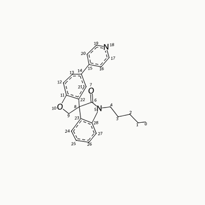 CCCCCN1C(=O)C2(COc3ccc(-c4ccncc4)cc32)c2ccccc21